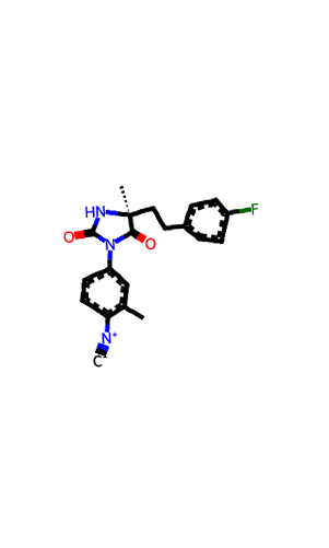 [C-]#[N+]c1ccc(N2C(=O)N[C@@](C)(CCc3ccc(F)cc3)C2=O)cc1C